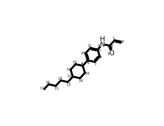 C=CC(=O)Nc1ccc(C2CCC(CCCCC)CC2)cc1